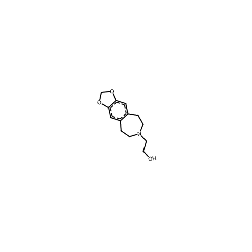 OCCN1CCc2cc3c(cc2CC1)OCO3